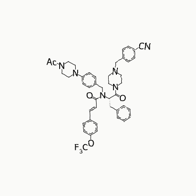 CC(=O)N1CCN(c2ccc(CN(C(=O)C=Cc3ccc(OC(F)(F)F)cc3)[C@@H](Cc3ccccc3)C(=O)N3CCN(Cc4ccc(C#N)cc4)CC3)cc2)CC1